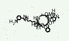 CC[C@H]1OC(=O)[C@H](Cc2ccccc2)C(=O)[C@H](C)[C@@H](O[C@@H]2O[C@H](C)CC(N(C)C)C2O)[C@](C)(OC)C[C@@H](C)CN[C@H](C)[C@@H](N(C=O)CCCCn2cc(-c3cccc(N)c3)nn2)[C@]1(C)O